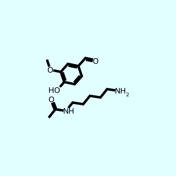 CC(=O)NCCCCCN.COc1cc(C=O)ccc1O